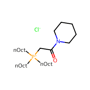 CCCCCCCC[P+](CCCCCCCC)(CCCCCCCC)CC(=O)N1CCCCC1.[Cl-]